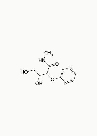 CNC(=O)C(Oc1ccccn1)C(O)CO